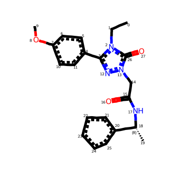 CCn1c(-c2ccc(OC)cc2)nn(CC(=O)N[C@H](C)c2ccccc2)c1=O